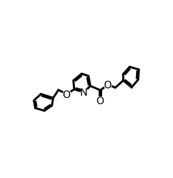 O=C(OCc1ccccc1)c1cccc(OCc2ccccc2)n1